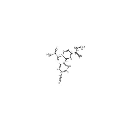 CC(=O)NC1C=CC(C(=N)NO)=CN1c1ccc(C#N)cn1